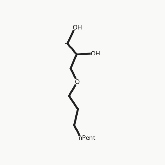 CCCCCCCCOCC(O)[CH]O